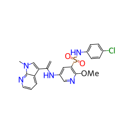 C=C(Nc1cnc(OC)c(S(=O)(=O)Nc2ccc(Cl)cc2)c1)c1cn(C)c2ncccc12